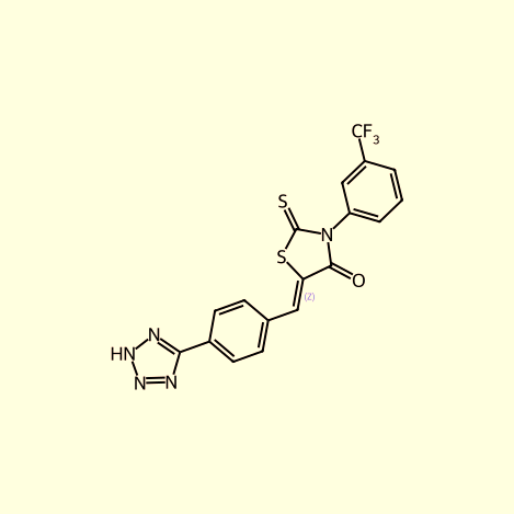 O=C1/C(=C/c2ccc(-c3nn[nH]n3)cc2)SC(=S)N1c1cccc(C(F)(F)F)c1